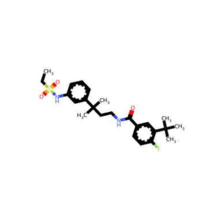 CCS(=O)(=O)Nc1cccc(C(C)(C)CCNC(=O)c2ccc(F)c(C(C)(C)C)c2)c1